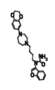 NC(=O)N(CCCCN1CCCN(c2ccc3c(c2)OCCO3)CC1)c1coc2ccccc12